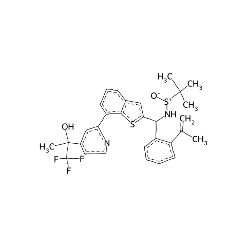 C=C(C)c1ccccc1C(N[S+]([O-])C(C)(C)C)c1cc2cccc(-c3cc(C(C)(O)C(F)(F)F)ccn3)c2s1